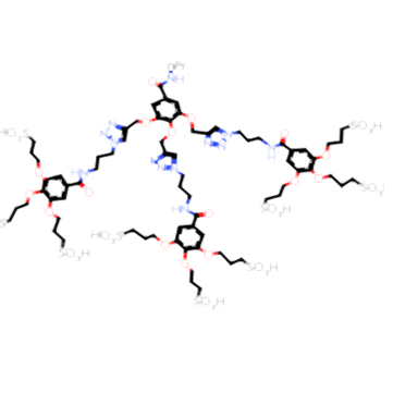 CCCNC(=O)c1cc(OCc2cn(CCCNC(=O)c3cc(OCCCS(=O)(=O)O)c(OCCCS(=O)(=O)O)c(OCCCS(=O)(=O)O)c3)nn2)c(OCc2cn(CCCNC(=O)c3cc(OCCCS(=O)(=O)O)c(OCCCS(=O)(=O)O)c(OCCCS(=O)(=O)O)c3)nn2)c(OCc2cn(CCCNC(=O)c3cc(OCCCS(=O)(=O)O)c(OCCCS(=O)(=O)O)c(OCCCS(=O)(=O)O)c3)nn2)c1